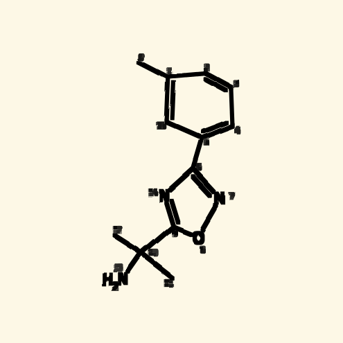 Cc1cccc(-c2noc(C(C)(C)N)n2)c1